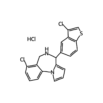 Cl.Clc1cccc2c1CNC(c1ccc3scc(Cl)c3c1)c1cccn1-2